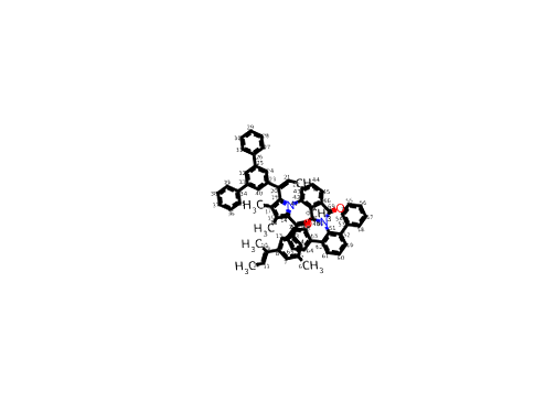 C/C=C(/c1cc(C)cc(/C(C)=C/C)c1)c1c(C)c(C)c(/C(=C\C)c2cc(-c3ccccc3)cc(-c3ccccc3)c2)n1-c1cccc2c1C(=O)N(c1c(-c3ccccc3)cccc1-c1ccccc1)C2=O